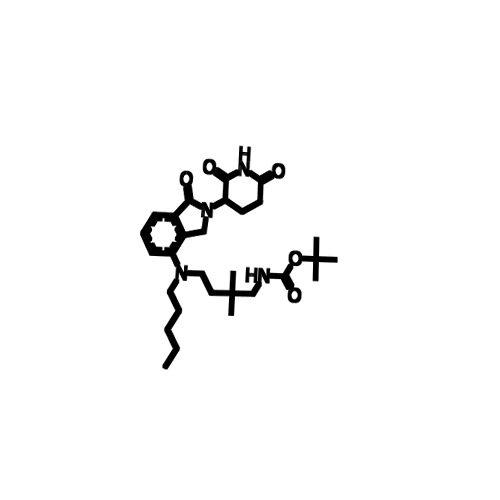 CCCCCN(CCC(C)(C)CNC(=O)OC(C)(C)C)c1cccc2c1CN(C1CCC(=O)NC1=O)C2=O